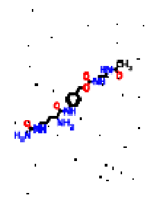 CC(=O)NCCNC(=O)OCc1ccc(NC(=O)[C@@H](N)CCCNC(N)=O)cc1